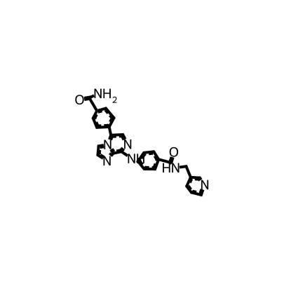 NC(=O)c1ccc(-c2cnc(Nc3ccc(C(=O)NCc4cccnc4)cc3)c3nccn23)cc1